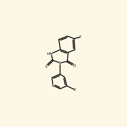 O=c1c2cc(F)ccc2[nH]c(=S)n1-c1cncc(F)c1